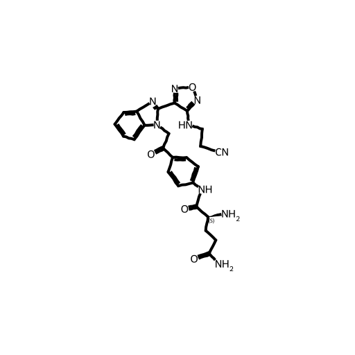 N#CCCNc1nonc1-c1nc2ccccc2n1CC(=O)c1ccc(NC(=O)[C@@H](N)CCC(N)=O)cc1